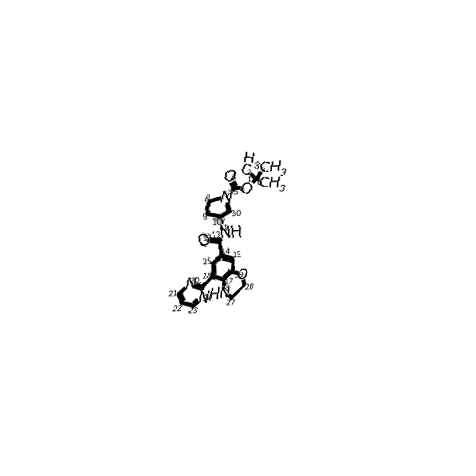 CC(C)(C)OC(=O)N1CC[C@@H](NC(=O)c2cc3c(c(-c4ncccn4)c2)NCCO3)C1